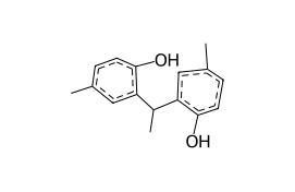 Cc1ccc(O)c(C(C)c2cc(C)ccc2O)c1